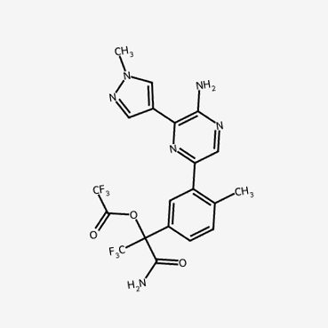 Cc1ccc(C(OC(=O)C(F)(F)F)(C(N)=O)C(F)(F)F)cc1-c1cnc(N)c(-c2cnn(C)c2)n1